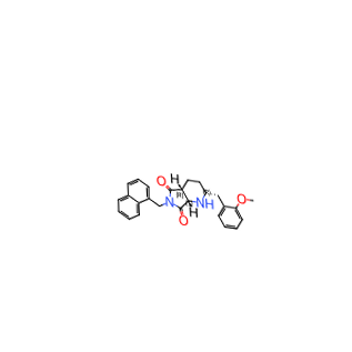 COc1ccccc1C[C@H]1CC[C@H]2C(=O)N(Cc3cccc4ccccc34)C(=O)[C@H]2N1